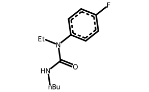 [CH2]CN(C(=O)NCCCC)c1ccc(F)cc1